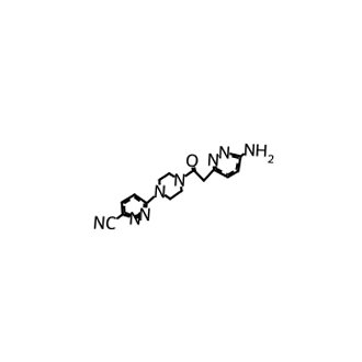 N#Cc1ccc(N2CCN(C(=O)Cc3ccc(N)nn3)CC2)nn1